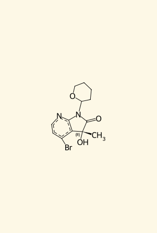 C[C@]1(O)C(=O)N(C2CCCCO2)c2nccc(Br)c21